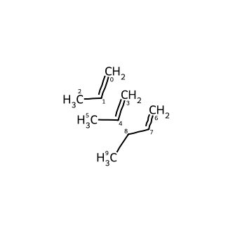 C=CC.C=CC.C=CCC